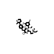 C=NN(/C=C\Cc1nc(=O)c(Cc2ccc(-c3cccnc3C)cc2)c(O)n1[C@@H](CC)c1cc(F)cc(F)c1)CC